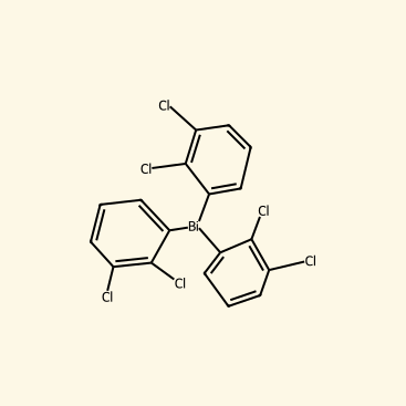 Clc1ccc[c]([Bi]([c]2cccc(Cl)c2Cl)[c]2cccc(Cl)c2Cl)c1Cl